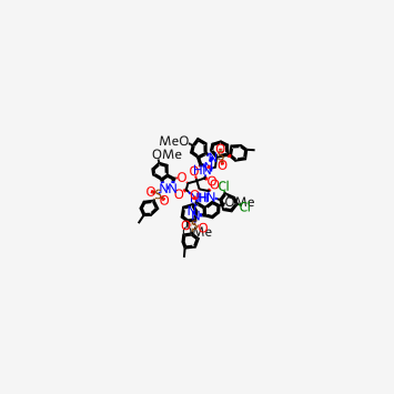 COc1ccc(NC(=O)C(Oc2nn(S(=O)(=O)c3ccc(C)cc3)c3ccc(OC)cc23)C(Oc2nn(S(=O)(=O)c3ccc(C)cc3)c3ccc(OC)cc23)(C(=O)NCc2ccccc2)C(Oc2nn(S(=O)(=O)c3ccc(C)cc3)c3ccc(OC)cc23)C(=O)Nc2ccc(Cl)cc2Cl)cc1